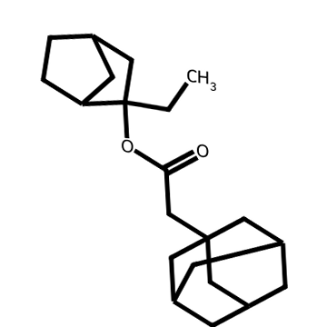 CCC1(OC(=O)CC23CC4CC(CC(C4)C2)C3)CC2CCC1C2